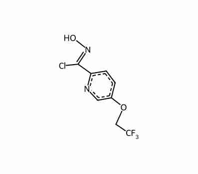 ON=C(Cl)c1ccc(OCC(F)(F)F)cn1